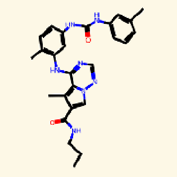 CCCNC(=O)c1cn2ncnc(Nc3cc(NC(=O)Nc4cccc(C)c4)ccc3C)c2c1C